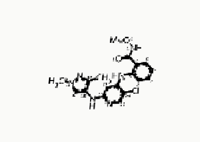 CONC(=O)c1ccccc1Nc1cc(Nc2cn(C)nc2C)ncc1Cl